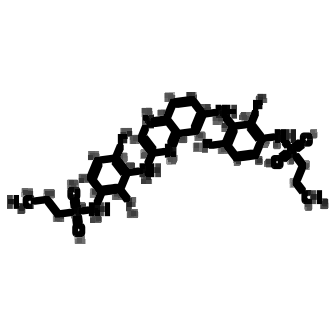 CCCS(=O)(=O)Nc1ccc(F)c(Nc2ccc3ncc(Nc4c(F)ccc(NS(=O)(=O)CCC)c4F)nc3c2)c1F